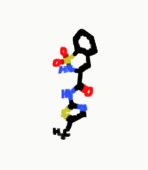 Cc1cnc(NC(=O)C2=Cc3ccccc3S(=O)(=O)N2)s1